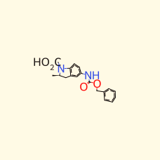 C[C@@H]1Cc2cc(NC(=O)OCc3ccccc3)ccc2N1C(=O)O